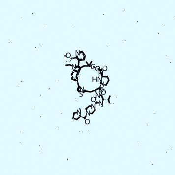 CCn1c(-c2cccnc2[C@H](C)OC)c2c3cc(ccc31)-c1csc(n1)C[C@H](N(C)C(=O)[C@H](C(C)C)N(C)C(=O)N1CCN(C(=O)[C@H]3CCCN3C)CC1)C(=O)N1CCC[C@H](N1)C(=O)OCC(C)(C)C2